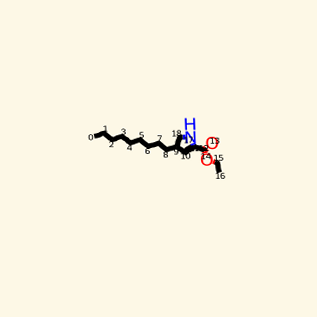 CCCCCCCCCC1C=C(C(=O)OCC)NC1